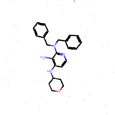 Nc1c(NC2CCOCC2)ccnc1N(Cc1ccccc1)Cc1ccccc1